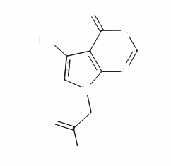 C=C(C)Cn1cc(C)c2c1N=CNC2=C